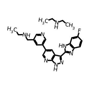 CCNCC.CCNCc1cncc(-c2cnc3[nH]nc(-c4nc5ccc(F)cc5[nH]4)c3c2)c1